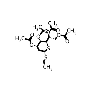 CCS[C@@H]1C[C@H](OC(C)=O)[C@@H](OC(C)=O)[C@@H]([C@@H](COC(C)=O)OC(C)=O)S1